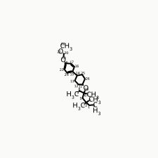 CCC(C)(C)CC(C)(CC)OC1CCC(c2ccc(OCOC)cc2)CC1